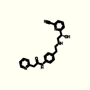 N#Cc1cccc([C@H](O)CNCCc2ccc(NC(=O)Cc3ccccn3)cc2)n1